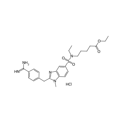 CCOC(=O)CCCCN(CC)S(=O)(=O)c1ccc2c(c1)nc(Cc1ccc(C(=N)N)cc1)n2C.Cl